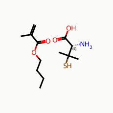 C=C(C)C(=O)OCCCC.CC(C)(S)[C@@H](N)C(=O)O